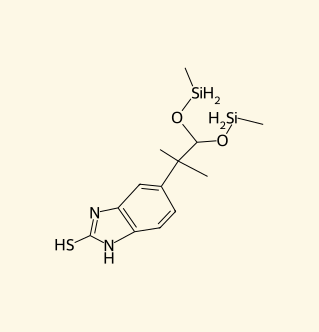 C[SiH2]OC(O[SiH2]C)C(C)(C)c1ccc2[nH]c(S)nc2c1